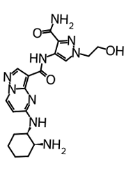 NC(=O)c1nn(CCO)cc1NC(=O)c1cnn2ccc(N[C@@H]3CCCC[C@@H]3N)nc12